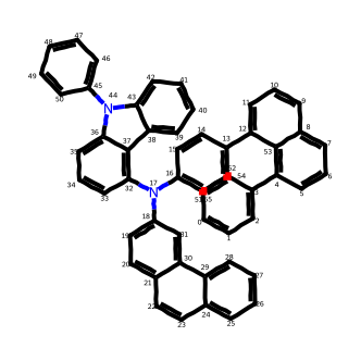 c1ccc(-c2cccc3cccc(-c4ccc(N(c5ccc6ccc7ccccc7c6c5)c5cccc6c5c5ccccc5n6-c5ccccc5)cc4)c23)cc1